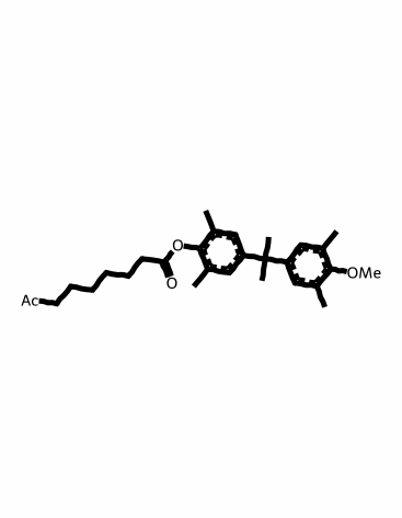 COc1c(C)cc(C(C)(C)c2cc(C)c(OC(=O)CCCCCCC(C)=O)c(C)c2)cc1C